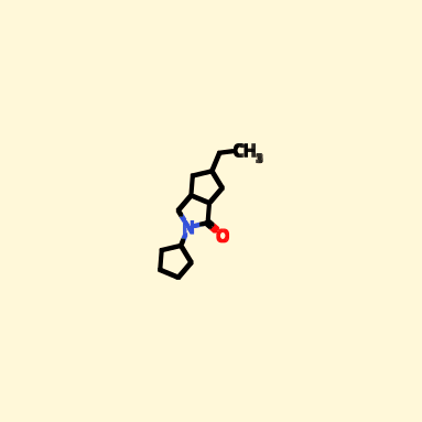 CCC1CC2CN(C3CCCC3)C(=O)C2C1